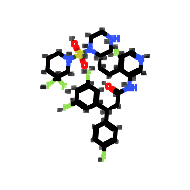 O=C(C[C@@H](c1ccc(F)cc1)c1cc(F)cc(F)c1)Nc1cncc(F)c1CC[C@H]1CNCCN1S(=O)(=O)N1CCCC(F)(F)C1